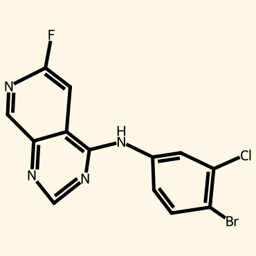 Fc1cc2c(Nc3ccc(Br)c(Cl)c3)ncnc2cn1